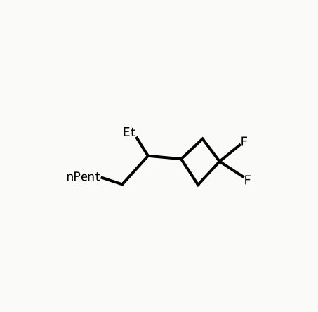 CCCCCCC(CC)C1CC(F)(F)C1